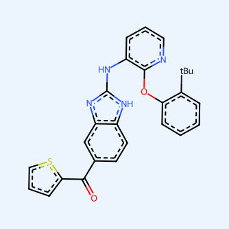 CC(C)(C)c1ccccc1Oc1ncccc1Nc1nc2cc(C(=O)c3cccs3)ccc2[nH]1